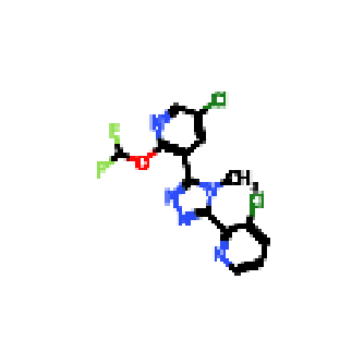 Cn1c(-c2cc(Cl)cnc2OC(F)F)nnc1-c1ncccc1Cl